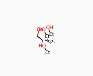 CCCCCCCCO.CCO.CCO.CCO